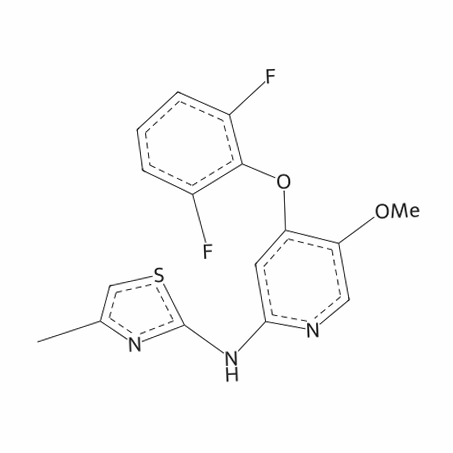 COc1cnc(Nc2nc(C)cs2)cc1Oc1c(F)cccc1F